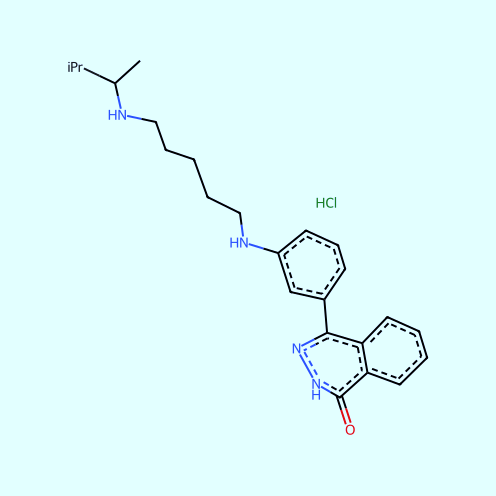 CC(C)C(C)NCCCCCNc1cccc(-c2n[nH]c(=O)c3ccccc23)c1.Cl